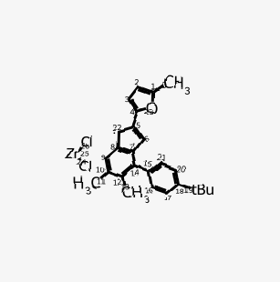 Cc1ccc(C2=Cc3c(cc(C)c(C)c3-c3ccc(C(C)(C)C)cc3)[CH]2)o1.[Cl][Zr][Cl]